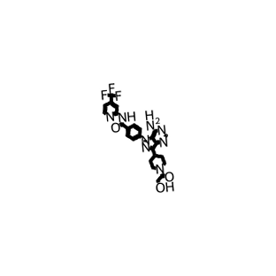 Nc1ncnc2c(C3CCN(C(=O)CO)CC3)nn(-c3ccc(C(=O)Nc4cc(C(F)(F)F)ccn4)cc3)c12